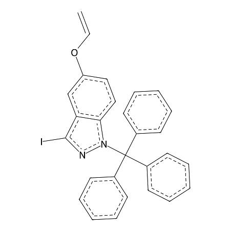 C=COc1ccc2c(c1)c(I)nn2C(c1ccccc1)(c1ccccc1)c1ccccc1